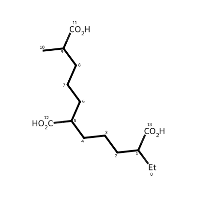 CCC(CCCC(CCCC(C)C(=O)O)C(=O)O)C(=O)O